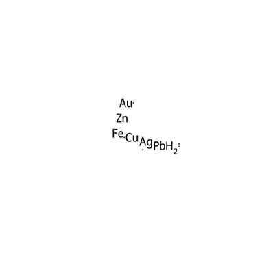 [Ag].[Au].[Cu].[Fe].[PbH2].[Zn]